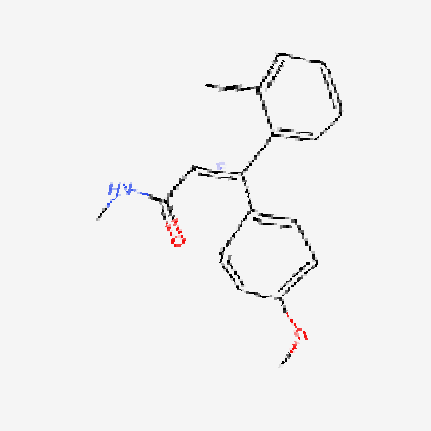 CNC(=O)/C=C(\c1ccc(OC)cc1)c1ccccc1C